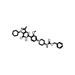 COc1cc(N2CCC(N(C)C(=O)OCc3ccccc3)CC2)ccc1-c1nc2c(C)nn(C3CCCCC3)c2c(=O)[nH]1